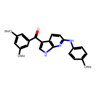 COc1ccc(Nc2ccc3c(C(=O)c4cc(OC)cc(OC)c4)c[nH]c3n2)cc1